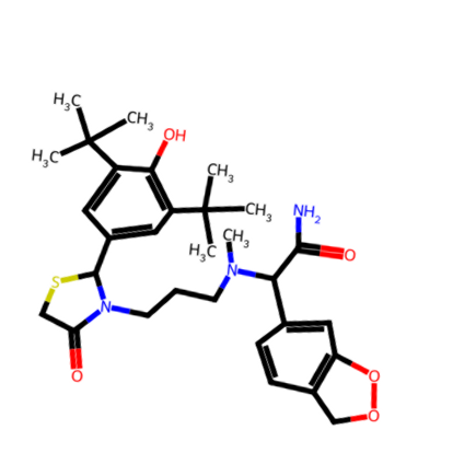 CN(CCCN1C(=O)CSC1c1cc(C(C)(C)C)c(O)c(C(C)(C)C)c1)C(C(N)=O)c1ccc2c(c1)OOC2